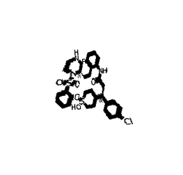 O=C(C[C@@H](c1ccc(Cl)cc1)C1CCS(O)(O)CC1)Nc1cccc(F)c1CC[C@H]1CNCCN1S(=O)(=O)c1ccccc1